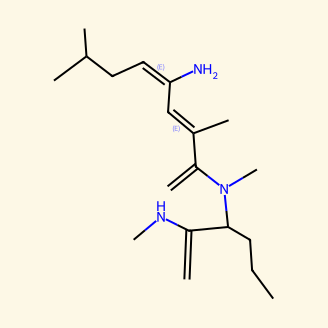 C=C(NC)C(CCC)N(C)C(=C)/C(C)=C/C(N)=C\CC(C)C